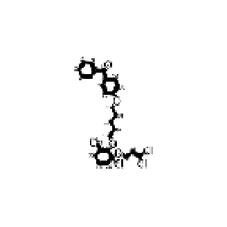 O=C(c1ccccc1)c1ccc(OCCCCCOC2=C(Cl)CC=CC2(Cl)OCC=C(Cl)Cl)cc1